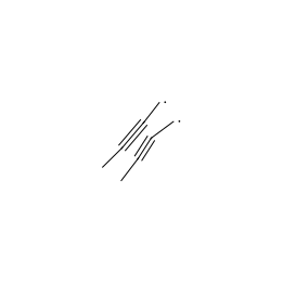 [CH2]C#CC.[CH2]C#CC